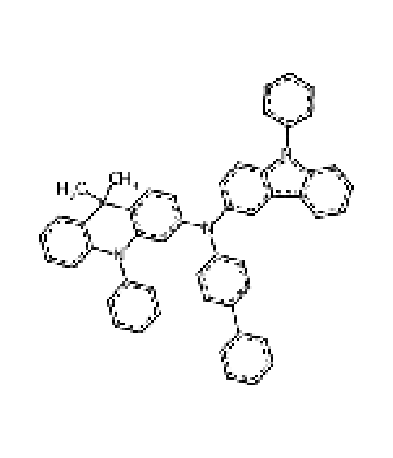 CC1(C)c2ccccc2N(c2ccccc2)c2cc(N(c3ccc(-c4ccccc4)cc3)c3ccc4c(c3)c3ccccc3n4-c3ccccc3)ccc21